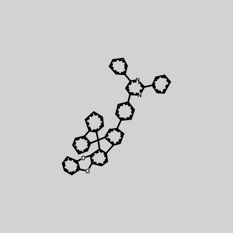 c1ccc(-c2cc(-c3ccc(-c4ccc5c(c4)C4(c6ccccc6-c6ccccc64)c4c-5ccc5c4Oc4ccccc4O5)cc3)nc(-c3ccccc3)n2)cc1